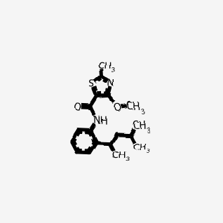 COc1nc(C)sc1C(=O)Nc1ccccc1C(C)CC(C)C